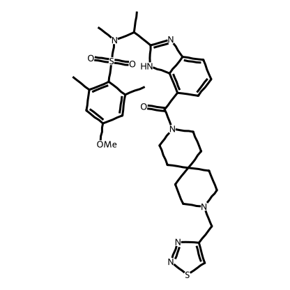 COc1cc(C)c(S(=O)(=O)N(C)C(C)c2nc3cccc(C(=O)N4CCC5(CCN(Cc6csnn6)CC5)CC4)c3[nH]2)c(C)c1